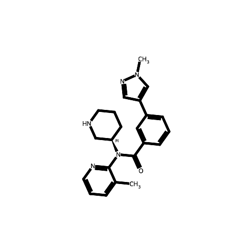 Cc1cccnc1N(C(=O)c1cccc(-c2cnn(C)c2)c1)[C@@H]1CCCNC1